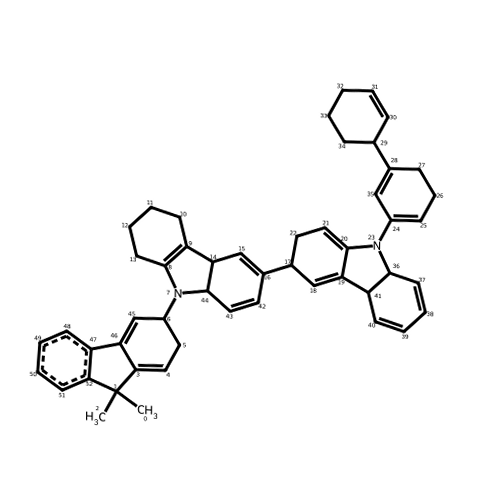 CC1(C)C2=CCC(N3C4=C(CCCC4)C4C=C(C5C=C6C(=CC5)N(C5=CCCC(C7C=CCCC7)=C5)C5C=CC=CC65)C=CC43)C=C2c2ccccc21